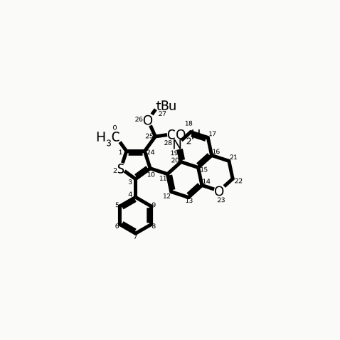 Cc1sc(-c2ccccc2)c(-c2ccc3c4c(ccnc24)CCO3)c1C(OC(C)(C)C)C(=O)O